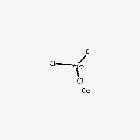 [Ce].[Cl][Ho]([Cl])[Cl]